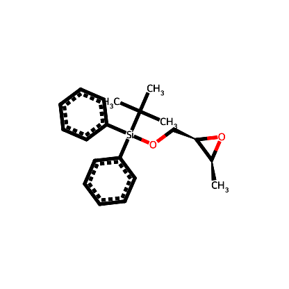 C[C@@H]1O[C@@H]1CO[Si](c1ccccc1)(c1ccccc1)C(C)(C)C